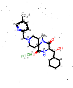 CCCCN1C(=O)[C@@H]([C@H](O)C2CCCCC2)NC(=O)C12CCN(Cc1ccc(C(=O)O)cn1)CC2.Cl.Cl